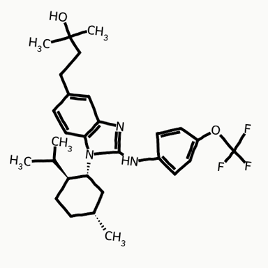 CC(C)[C@@H]1CC[C@@H](C)C[C@H]1n1c(Nc2ccc(OC(F)(F)F)cc2)nc2cc(CCC(C)(C)O)ccc21